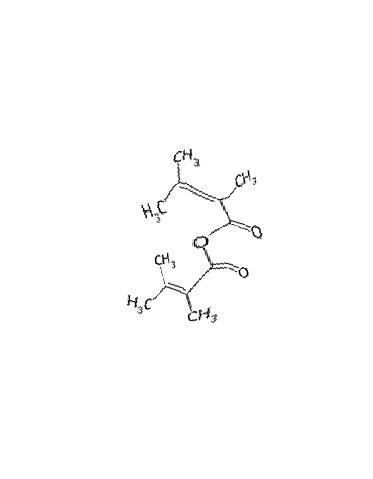 CC(C)=C(C)C(=O)OC(=O)C(C)=C(C)C